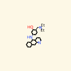 CCN(CC)Cc1ccc(Nc2c3ccccc3cc3ncccc23)cc1O